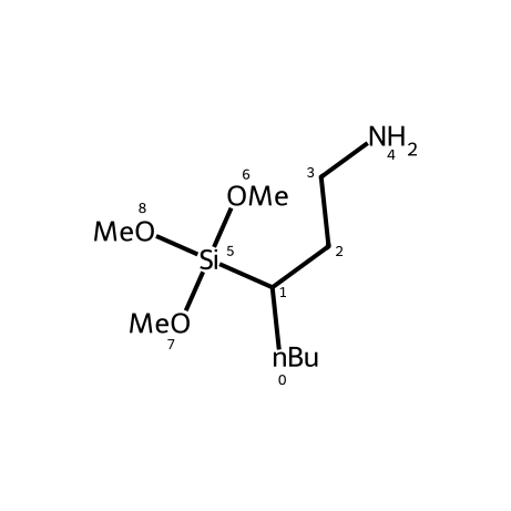 CCCCC(CCN)[Si](OC)(OC)OC